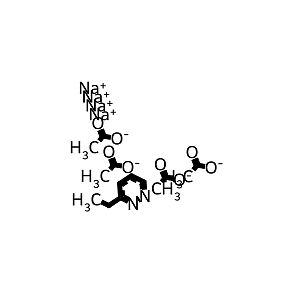 CC(=O)[O-].CC(=O)[O-].CC(=O)[O-].CC(=O)[O-].CCc1cccnn1.[Na+].[Na+].[Na+].[Na+]